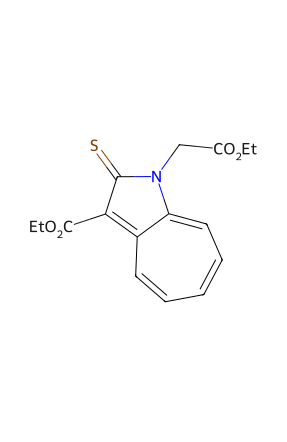 CCOC(=O)Cn1c2cccccc-2c(C(=O)OCC)c1=S